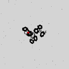 Fc1cccc(-n2c3ccccc3c3ccc(N(c4ccc5oc6ccccc6c5c4)c4cccc5c6ccccc6n(-c6ccccc6)c45)cc32)c1